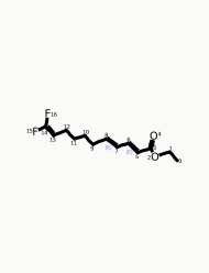 CCOC(=O)/C=C/C=C/CCCCC=C(F)F